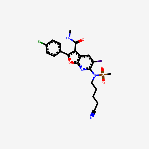 CNC(=O)c1c(-c2ccc(F)cc2)oc2nc(N(CCCCC#N)S(C)(=O)=O)c(I)cc12